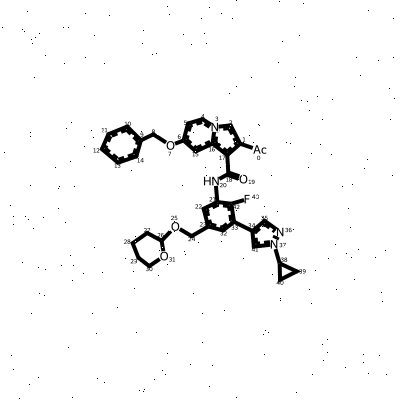 CC(=O)c1cn2ccc(OCc3ccccc3)cc2c1C(=O)Nc1cc(COC2CCCCO2)cc(-c2cnn(C3CC3)c2)c1F